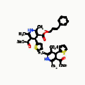 COC(=O)C1=C(C)NC(C)=C(C(=O)O)C1c1cccs1.COC(=O)C1=C(C)NC(C)=C(C(=O)OC/C=C/c2ccccc2)C1c1cccs1